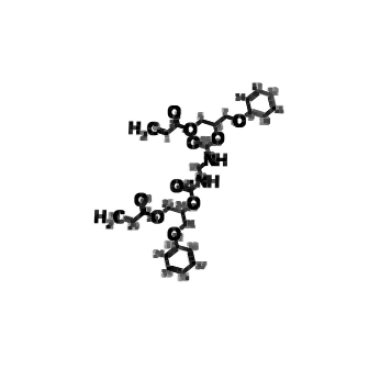 C=CC(=O)OCC(COc1ccccc1)OC(=O)NCNC(=O)OC(COC(=O)C=C)COc1ccccc1